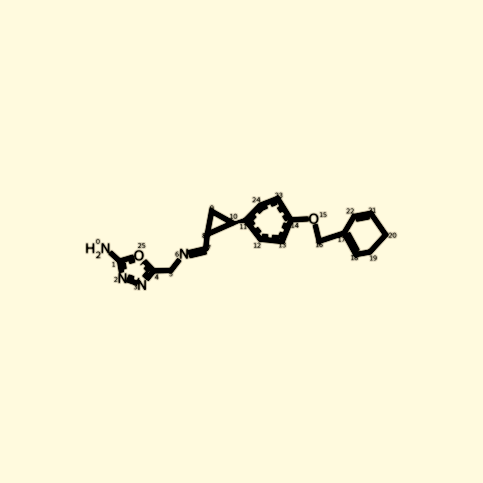 Nc1nnc(CN=CC2C[C@H]2c2ccc(OCC3=CCCC=C3)cc2)o1